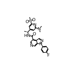 C[C@H](NC(=O)c1cncc2c1cnn2-c1ccc(F)cc1)c1cc(N(C)C)nc(S(C)(=O)=O)c1